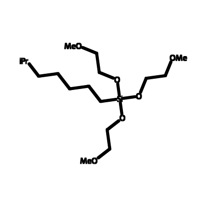 COCCO[Si](CCCCCC(C)C)(OCCOC)OCCOC